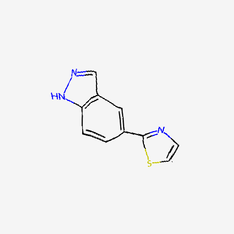 [c]1cnc(-c2ccc3[nH]ncc3c2)s1